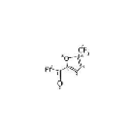 CC(C)C(=O)c1ccc(C(F)(F)F)o1